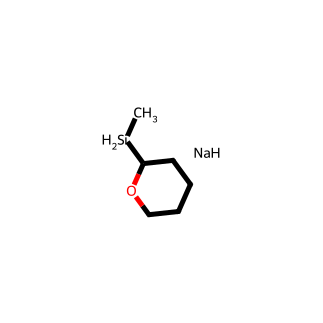 C[SiH2]C1CCCCO1.[NaH]